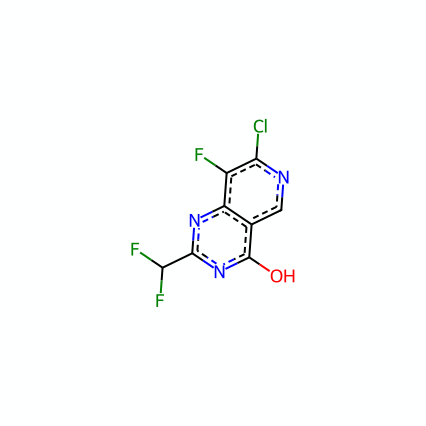 Oc1nc(C(F)F)nc2c(F)c(Cl)ncc12